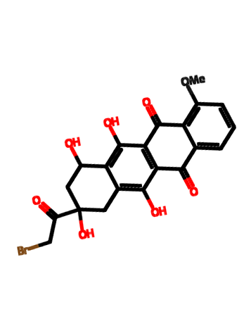 COc1cccc2c1C(=O)c1c(O)c3c(c(O)c1C2=O)CC(O)(C(=O)CBr)CC3O